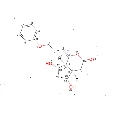 O=C1C[C@@H]2[C@H](/C(=C\CCOc3ccccc3)O1)[C@@H](O)C[C@H]2O